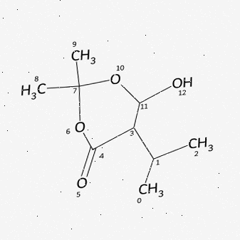 CC(C)C1C(=O)OC(C)(C)OC1O